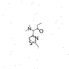 CCC(=O)C(c1csc(C)n1)N(C)C